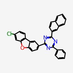 Clc1ccc2c(c1)oc1ccc(-c3nc(-c4ccccc4)nc(-c4ccc5ccccc5c4)n3)cc12